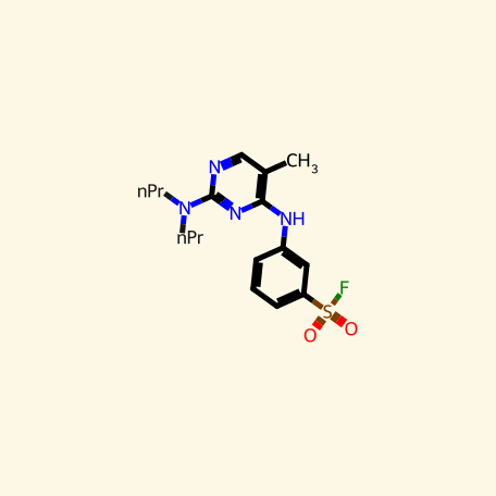 CCCN(CCC)c1ncc(C)c(Nc2cccc(S(=O)(=O)F)c2)n1